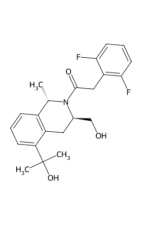 C[C@H]1c2cccc(C(C)(C)O)c2C[C@H](CO)N1C(=O)Cc1c(F)cccc1F